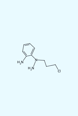 Nc1ccccc1N(N)CCCCl